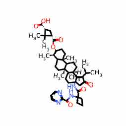 CC(C)C1=C2[C@H]3CCC4[C@@]5(C)CC[C@H](OC(=O)[C@H]6C[C@@H](C(=O)O)C6(C)C)[C@H](C)C5CC[C@@]4(C)[C@]3(C)CC[C@@]2(NC(=O)C2(NC(=O)c3ncccn3)CCC2)CC1=O